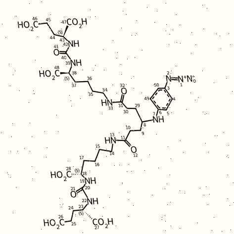 [N-]=[N+]=Nc1ccc(NC(CCC(=O)NCCCC[C@H](NC(=O)N[C@@H](CCC(=O)O)C(=O)O)C(=O)O)CCC(=O)NCCCC[C@H](NC(=O)N[C@@H](CCC(=O)O)C(=O)O)C(=O)O)cc1